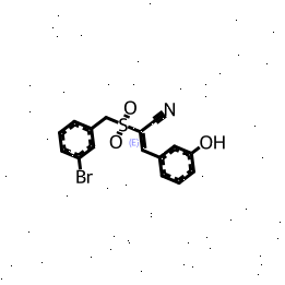 N#C/C(=C\c1cccc(O)c1)S(=O)(=O)Cc1cccc(Br)c1